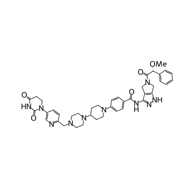 CO[C@@H](C(=O)N1Cc2[nH]nc(NC(=O)c3ccc(N4CCC(N5CCN(Cc6ccc(N7CCC(=O)NC7=O)cn6)CC5)CC4)cc3)c2C1)c1ccccc1